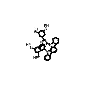 P=Nc1cc(N=P)cc(-c2nc(-c3cc(N=P)cc(N=P)c3)nc(-n3c4ccccc4c4ccc5c6ccccc6n(-c6ccccc6)c5c43)n2)c1